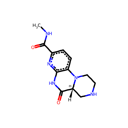 CNC(=O)c1ccc2c(n1)NC(=O)[C@H]1CNCCN21